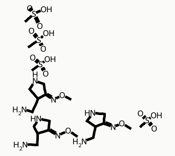 CON=C1CNCC1CN.CON=C1CNCC1CN.CON=C1CNCC1CN.CS(=O)(=O)O.CS(=O)(=O)O.CS(=O)(=O)O.CS(=O)(=O)O